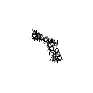 [2H]C([2H])([2H])Oc1cc(C(=O)NS(=O)(=O)c2ccccc2C([2H])([2H])[2H])ccc1Cc1cn(C)c2ccc(NC(=O)OC3([2H])C([2H])([2H])CCC3([2H])[2H])cc12